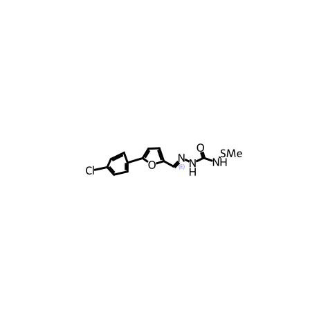 CSNC(=O)N/N=C/c1ccc(-c2ccc(Cl)cc2)o1